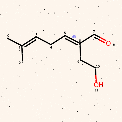 CC(C)=CC/C=C(/C=O)CCO